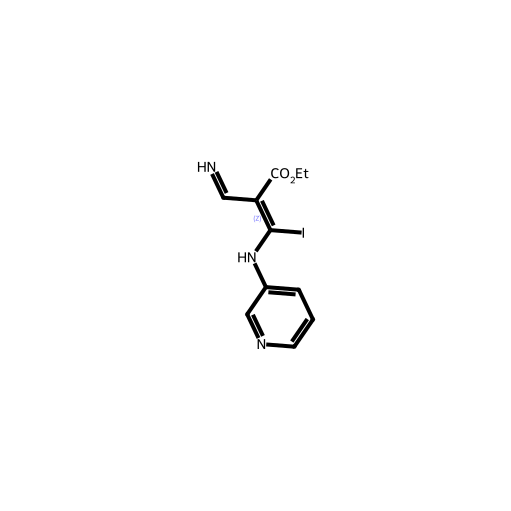 CCOC(=O)/C(C=N)=C(\I)Nc1cccnc1